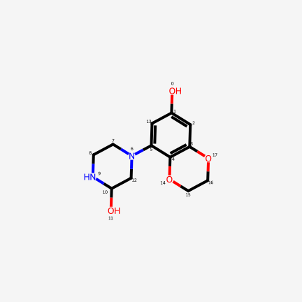 Oc1cc2c(c(N3CCNC(O)C3)c1)OCCO2